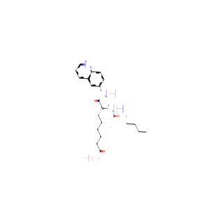 CCCCOC(=O)N[C@@H](CCCCCC(=O)O)C(=O)Nc1ccc2ncccc2c1